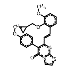 COc1ccc(-c2c(C=Cc3cccc(OC)c3OCC3CC3)nc3sccn3c2=O)cc1